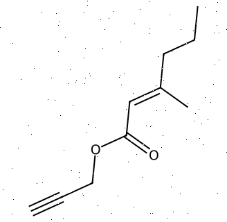 C#CCOC(=O)/C=C(\C)CCC